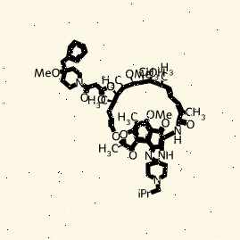 COc1c(C)c2c3c4c1C(=O)C(=C1NC5(CCN(CC(C)C)CC5)N=C14)NC(=O)/C(C)=C\C=C\[C@H](C)[C@H](O)[C@@H](C)[C@@H](OC)[C@@H](C)[C@H](OC(=O)CC(=O)N1CCC(Cc4ccccc4)(OC)CC1)[C@H](C)C/C=C/O[C@@](C)(O2)C3=O